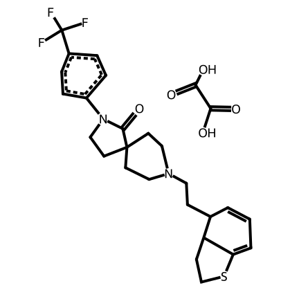 O=C(O)C(=O)O.O=C1N(c2ccc(C(F)(F)F)cc2)CCC12CCN(CCC1C=CC=C3SCCC31)CC2